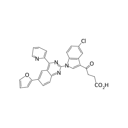 O=C(O)CCC(=O)c1cn(-c2nc(-c3ccccn3)c3cc(-c4ccco4)ccc3n2)c2ccc(Cl)cc12